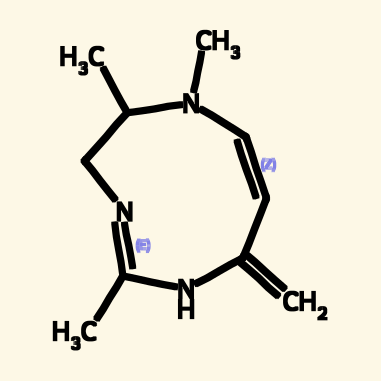 C=C1/C=C\N(C)C(C)C/N=C(\C)N1